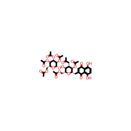 CC(=O)C[C@@H]1[C@@H](OC(C)=O)[C@H](CC2=CC(=O)c3c(O)ccc(O)c3C2=O)O[C@H](COC(C)=O)[C@H]1OO[C@@H]1O[C@H](COC(C)=O)[C@@H](OC(C)=O)[C@H](OC(C)=O)[C@H]1OC(C)=O